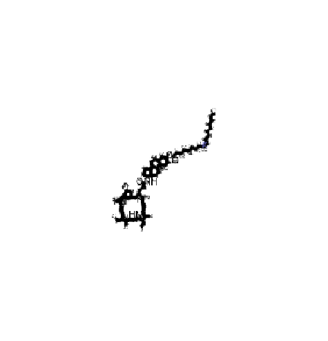 C=Cc1c(C)c2cc3nc(c4c5[nH]c(cc6nc(cc1[nH]2)C(C)=C6CC)c(C)c5C(=O)C4)[C@@H](CCC(=O)NC1CCC2C4CC=C5C[C@@H](OC(=O)CCCCCCC/C=C\CCCCCCCC)CC[C@]5(C)C4CC[C@]12C)[C@H]3C